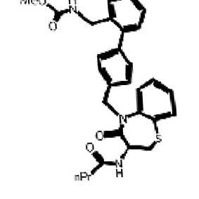 CCCC(=O)N[C@@H]1CSc2ccccc2N(Cc2ccc(-c3ccccc3CNC(=O)OC)cc2)C1=O